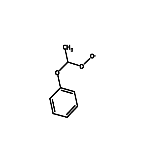 CC(O[O])Oc1ccccc1